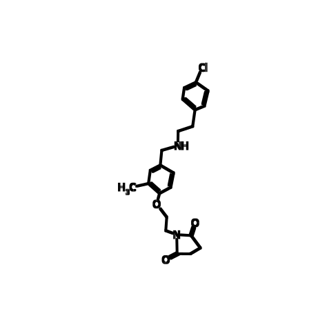 Cc1cc(CNCCc2ccc(Cl)cc2)ccc1OCCN1C(=O)CCC1=O